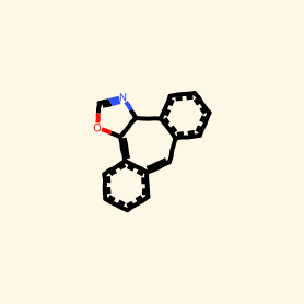 C1=NC2C(=c3ccccc3=Cc3ccccc32)O1